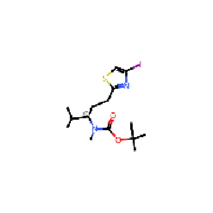 CC(C)[C@@H](CCc1nc(I)cs1)N(C)C(=O)OC(C)(C)C